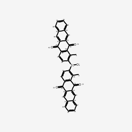 Cc1c([S+]([O-])c2ccc3c(c2C)C(=O)c2cc4ccccc4cc2C3=O)ccc2c1C(=O)c1cc3ccccc3cc1C2=O